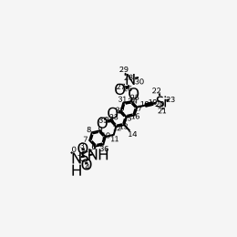 CNS(=O)(=O)Nc1cccc(Cc2c(C)c3cc(C#C[Si](C)(C)C)c(OC(=O)N(C)C)cc3oc2=O)c1